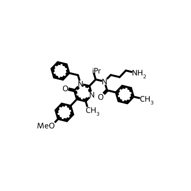 COc1ccc(-c2c(C)nc(C(C(C)C)N(CCCN)C(=O)c3ccc(C)cc3)n(Cc3ccccc3)c2=O)cc1